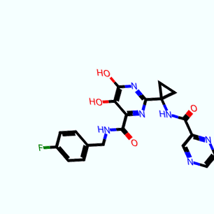 O=C(NC1(c2nc(O)c(O)c(C(=O)NCc3ccc(F)cc3)n2)CC1)c1cnccn1